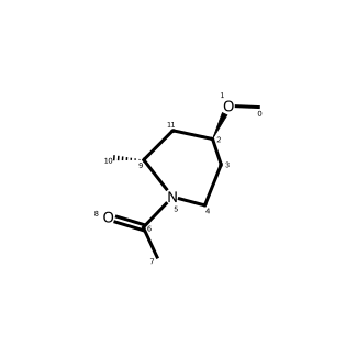 CO[C@H]1CCN(C(C)=O)[C@H](C)C1